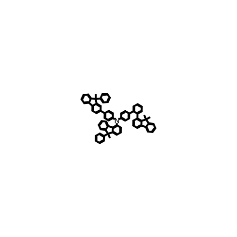 CC1(C)c2ccccc2-c2cccc(-c3ccccc3-c3ccc(N(c4ccc(-c5ccc6c(c5)C(C)(c5ccccc5)c5ccccc5-6)cc4)c4cccc5c4-c4ccccc4C5(C)c4ccccc4)cc3)c21